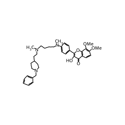 COc1ccc2c(=O)c(O)c(-c3ccc(N(C)CCCCN(C)CCC4CCN(Cc5ccccc5)CC4)cc3)oc2c1OC